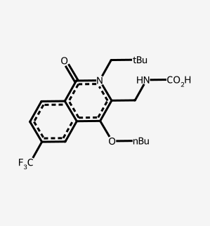 CCCCOc1c(CNC(=O)O)n(CC(C)(C)C)c(=O)c2ccc(C(F)(F)F)cc12